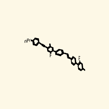 CCCc1ccc(C#Cc2cc(F)c(-c3ccc(CCc4ccc(-c5ccc(C)cc5F)cc4)cc3)cc2C)cc1